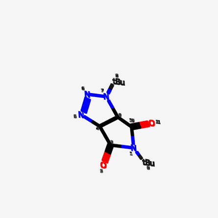 CC(C)(C)N1C(=O)C2N=NN(C(C)(C)C)C2C1=O